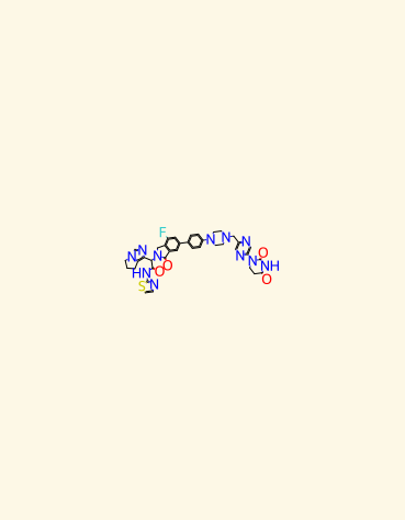 O=C1CCN(c2cnc(CN3CCN(c4ccc(-c5cc(F)c6c(c5)C(=O)N(C(C(=O)Nc5nccs5)c5ncn7c5CCC7)C6)cc4)CC3)cn2)C(=O)N1